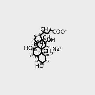 C[C@H](CCC(=O)[O-])[C@H]1CC[C@H]2C3[C@H](O)CC4C[C@H](O)CC[C@]4(C)[C@H]3C[C@H](O)[C@]12C.[Na+]